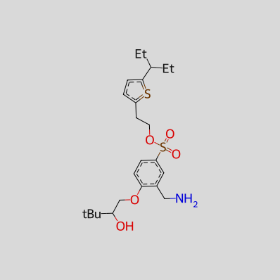 CCC(CC)c1ccc(CCOS(=O)(=O)c2ccc(OCC(O)C(C)(C)C)c(CN)c2)s1